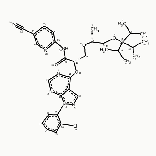 CC(C)[Si](OC[C@@H](C)OC[C@H](Oc1ncnc2c1cnn2-c1ccccc1Cl)C(=O)Nc1ccc(C#N)cn1)(C(C)C)C(C)C